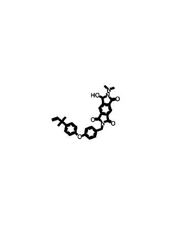 C=CC(C)(C)c1ccc(Oc2ccc(CN3C(=O)c4cc5c(cc4C3=O)C(O)N(N(C)C)C5=O)cc2)cc1